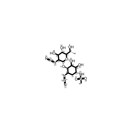 C[C@@H](O)C1O[C@H](O[C@@H]2C(N=[N+]=[N-])C[C@@H](NS(C)(=O)=O)C(O)C2O)C(N=[N+]=[N-])C(O)[C@@H]1O